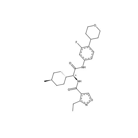 CCc1nocc1C(=O)N[C@H](C(=O)Nc1ccc(C2CCOCC2)c(F)c1)[C@H]1CC[C@H](C)CC1